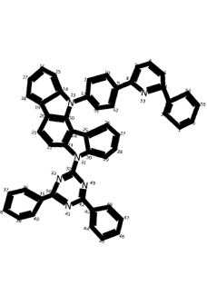 c1ccc(-c2cccc(-c3ccc(-n4c5ccccc5c5ccc6c(c7ccccc7n6-c6nc(-c7ccccc7)nc(-c7ccccc7)n6)c54)cc3)n2)cc1